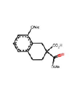 COC(=O)C1(C(=O)O)CCc2cccc(OC)c2C1